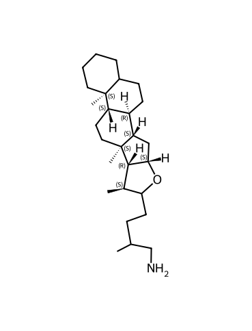 CC(CN)CCC1O[C@H]2C[C@H]3[C@@H]4CCC5CCCC[C@]5(C)[C@H]4CC[C@]3(C)[C@H]2[C@@H]1C